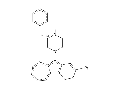 CC(C)C1=Cc2c(c3ccccnc-3c2N2CCN[C@@H](Cc3ccccc3)C2)CS1